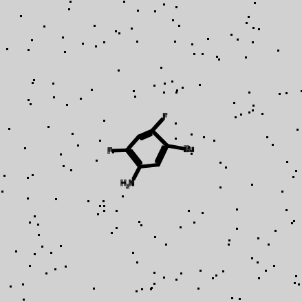 CCC(C)c1cc(N)c(F)cc1F